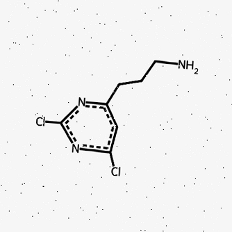 NCCCc1cc(Cl)nc(Cl)n1